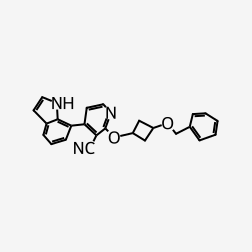 N#Cc1c(-c2cccc3cc[nH]c23)ccnc1OC1CC(OCc2ccccc2)C1